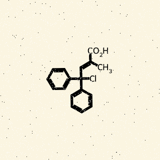 CC(=CC(Cl)(c1ccccc1)c1ccccc1)C(=O)O